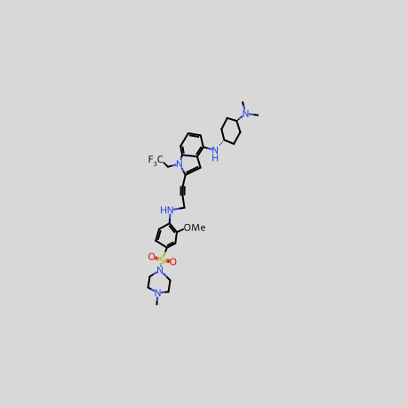 COc1cc(S(=O)(=O)N2CCN(C)CC2)ccc1NCC#Cc1cc2c(N[C@H]3CC[C@H](N(C)C)CC3)cccc2n1CC(F)(F)F